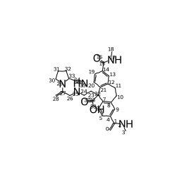 C=C(NC)c1ccc2c(c1)CCc1cc(C(=O)NC)ccc1C2(CCNCC(=C)N1CCCC1C#N)C(=O)O